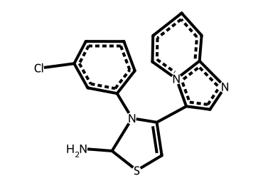 NC1SC=C(c2cnc3ccccn23)N1c1cccc(Cl)c1